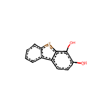 Oc1ccc2c(sc3ccccc32)c1O